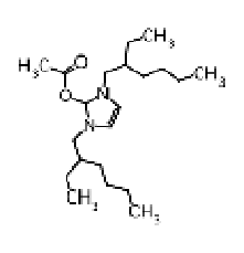 CCCCC(CC)CN1C=CN(CC(CC)CCCC)C1OC(C)=O